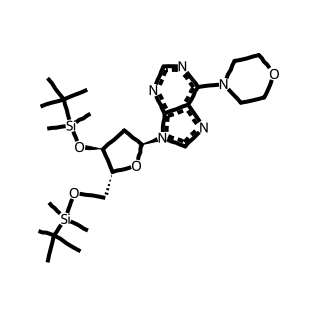 CC(C)(C)[Si](C)(C)OC[C@H]1O[C@H](n2cnc3c(N4CCOCC4)ncnc32)C[C@@H]1O[Si](C)(C)C(C)(C)C